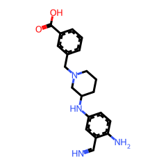 N=Cc1cc(NC2CCCN(Cc3cccc(C(=O)O)c3)C2)ccc1N